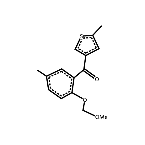 COCOc1ccc(C)cc1C(=O)c1csc(C)c1